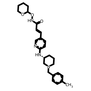 Cc1ccc(CN2CCC[C@@H](Nc3ccc(/C=C/C(=O)NOC4CCCCO4)cn3)C2)cc1